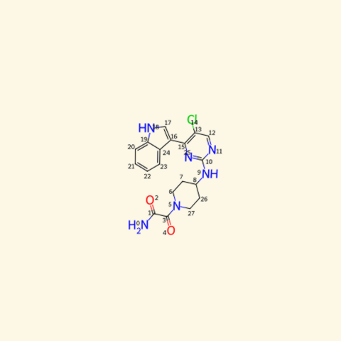 NC(=O)C(=O)N1CCC(Nc2ncc(Cl)c(-c3c[nH]c4ccccc34)n2)CC1